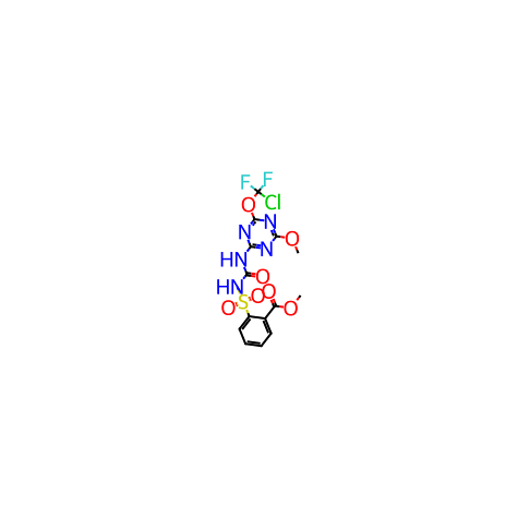 COC(=O)c1ccccc1S(=O)(=O)NC(=O)Nc1nc(OC)nc(OC(F)(F)Cl)n1